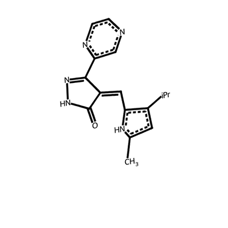 Cc1cc(C(C)C)c(C=C2C(=O)NN=C2c2cnccn2)[nH]1